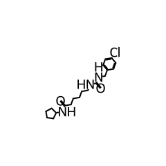 O=C(CCCCCNC(=O)NCc1ccc(Cl)cc1)NC1CCCC1